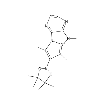 Cc1c(B2OC(C)(C)C(C)(C)O2)c(C)[n+]2n(C)c3nccnc3n12